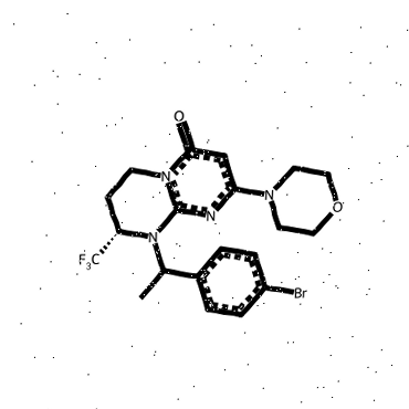 CC(c1ccc(Br)cc1)N1c2nc(N3CCOCC3)cc(=O)n2CC[C@H]1C(F)(F)F